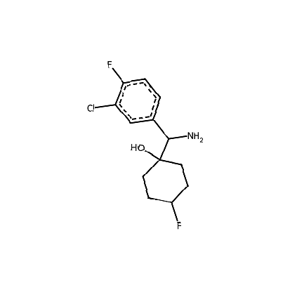 NC(c1ccc(F)c(Cl)c1)C1(O)CCC(F)CC1